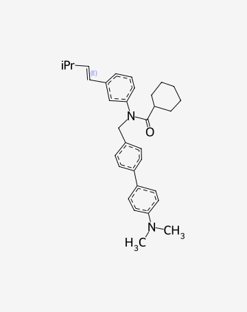 CC(C)/C=C/c1cccc(N(Cc2ccc(-c3ccc(N(C)C)cc3)cc2)C(=O)C2CCCCC2)c1